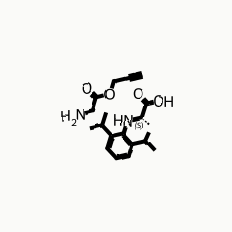 C#CCOC(=O)CN.CC(C)c1cccc(C(C)C)c1N[C@@H](C)C(=O)O